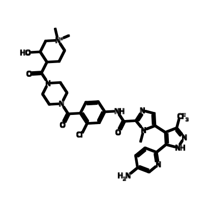 Cn1c(-c2c(C(F)(F)F)n[nH]c2-c2ccc(N)cn2)cnc1C(=O)Nc1ccc(C(=O)N2CCN(C(=O)C3CC[N+](C)(C)CC3O)CC2)c(Cl)c1